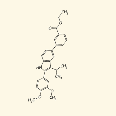 CCOC(=O)c1cccc(-c2ccc3[nH]c(-c4ccc(OC)c(OC)c4)c(C(C)C)c3c2)c1